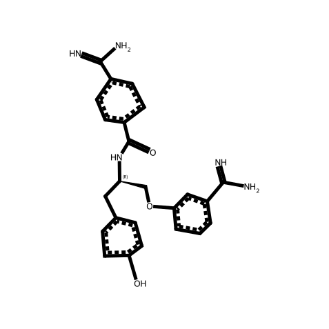 N=C(N)c1ccc(C(=O)N[C@@H](COc2cccc(C(=N)N)c2)Cc2ccc(O)cc2)cc1